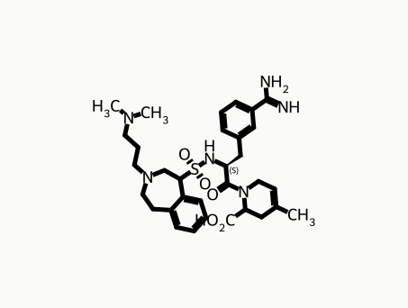 CC1=CCN(C(=O)[C@H](Cc2cccc(C(=N)N)c2)NS(=O)(=O)C2CN(CCCN(C)C)CCc3ccccc32)C(C(=O)O)C1